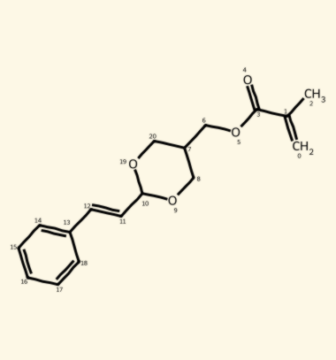 C=C(C)C(=O)OCC1COC(C=Cc2ccccc2)OC1